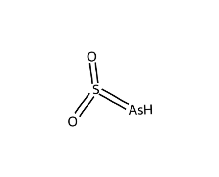 O=S(=O)=[AsH]